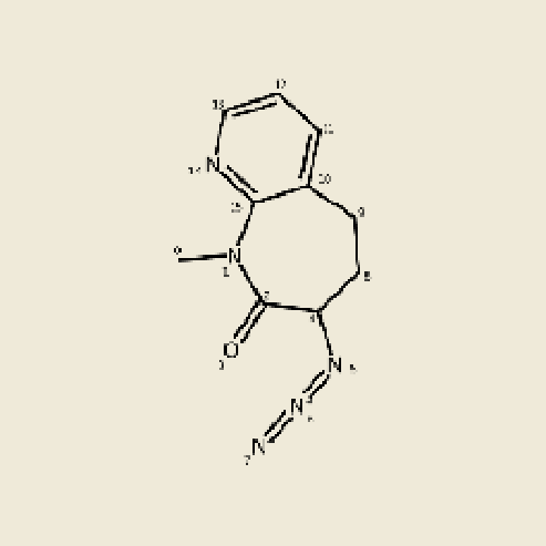 CN1C(=O)C(N=[N+]=[N-])CCc2cccnc21